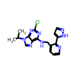 CC(C)n1cnc2c(NCc3cccnc3-c3ccn[nH]3)nc(Cl)nc21